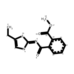 CCC1=C[N]C(=NC(=O)c2ccccc2C(=O)OC)S1